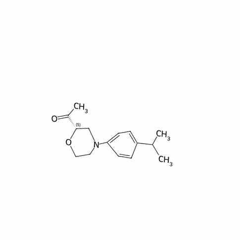 CC(=O)[C@@H]1CN(c2ccc(C(C)C)cc2)CCO1